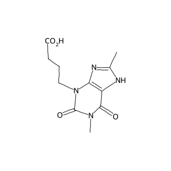 Cc1nc2c([nH]1)c(=O)n(C)c(=O)n2CCCC(=O)O